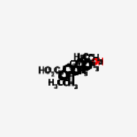 CC1(C)C[C@@H](C(=O)O)C2CC[C@]3(C)C(=CC[C@@H]4[C@@]5(C)CC[C@H](O)C(C)(C)[C@@H]5CC[C@]43C)[C@@H]2C1